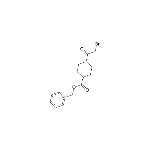 O=C(CBr)C1CCN(C(=O)OCc2ccccc2)CC1